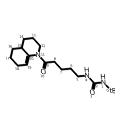 CC(C)(C)NC(=O)NCCCCC(=O)N1CCCC2CCCC=C21